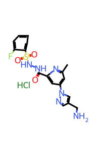 Cc1cc(-n2cc(CN)cn2)cc(C(=O)NNS(=O)(=O)c2ccccc2F)n1.Cl